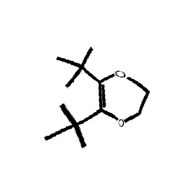 CC(C)(C)C1=C(C(C)(C)C)OCCO1